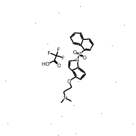 CN(C)CCOc1cccc2c1ccn2S(=O)(=O)c1cccc2ccccc12.O=C(O)C(F)(F)F